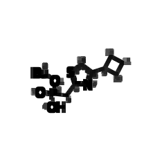 CCC(C)OP(=O)(O)Cc1nc(C2CCC2)cs1